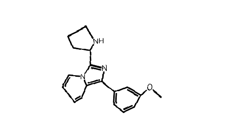 COc1cccc(-c2nc(C3CCCN3)n3ccccc23)c1